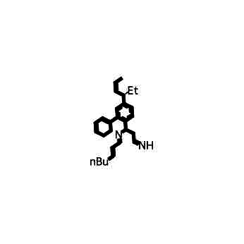 C/C=C\[C@H](CC)c1ccc(C(CC=N)/N=C/C=C/CCCC)c(C2=CC=CCC2)c1